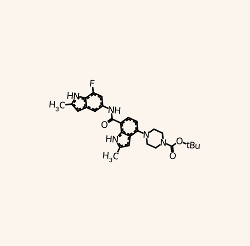 Cc1cc2cc(NC(=O)c3ccc(N4CCN(C(=O)OC(C)(C)C)CC4)c4cc(C)[nH]c34)cc(F)c2[nH]1